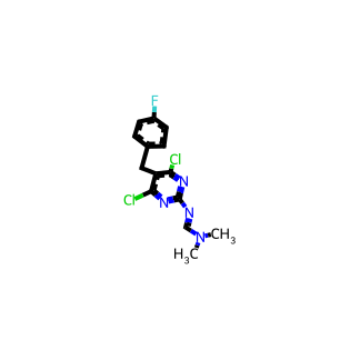 CN(C)/C=N/c1nc(Cl)c(Cc2ccc(F)cc2)c(Cl)n1